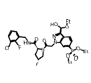 CCOC(O)c1nn(CC(=O)N2C[C@H](F)C[C@H]2C(=O)NCc2cccc(Cl)c2F)c2cc(P(=O)(OCC)OCC)ccc12